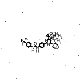 C[C@H]1COCCN1c1cc(C2(S(=O)(=O)C(C)(C)C)CC2)nc(-c2ccc(NC(=O)Nc3ccc(C(F)(F)F)cc3)cc2)n1